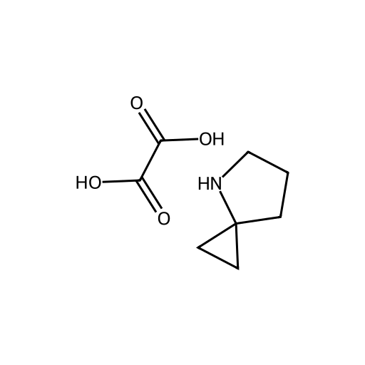 C1CNC2(C1)CC2.O=C(O)C(=O)O